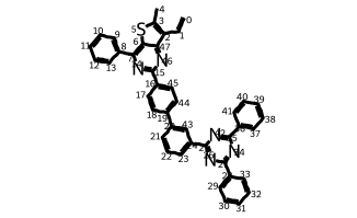 C=Cc1c(C)sc2c(-c3ccccc3)nc(-c3ccc(-c4cccc(-c5nc(-c6ccccc6)nc(-c6ccccc6)n5)c4)cc3)nc12